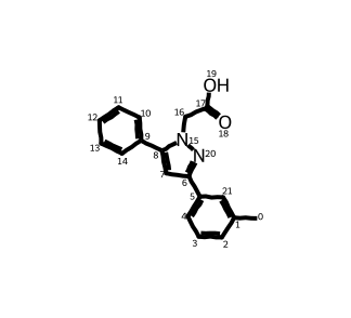 Cc1cccc(-c2cc(-c3ccccc3)n(CC(=O)O)n2)c1